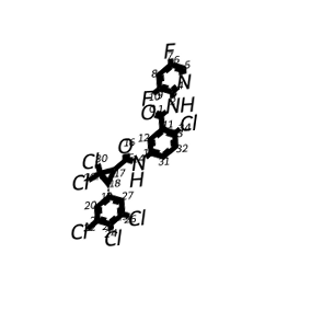 O=C(Nc1ncc(F)cc1F)c1cc(NC(=O)C2[C@H](c3cc(Cl)c(Cl)c(Cl)c3)C2(Cl)Cl)ccc1Cl